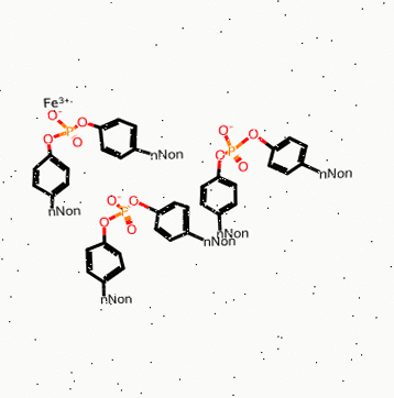 CCCCCCCCCc1ccc(OP(=O)([O-])Oc2ccc(CCCCCCCCC)cc2)cc1.CCCCCCCCCc1ccc(OP(=O)([O-])Oc2ccc(CCCCCCCCC)cc2)cc1.CCCCCCCCCc1ccc(OP(=O)([O-])Oc2ccc(CCCCCCCCC)cc2)cc1.[Fe+3]